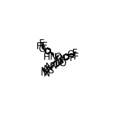 Cc1nnc2sc(N3CCN(S(=O)(=O)c4ccc(OC(F)(F)F)cc4)[C@@H](C(=O)NCc4ccc(OC(F)(F)F)cc4)C3)nn12